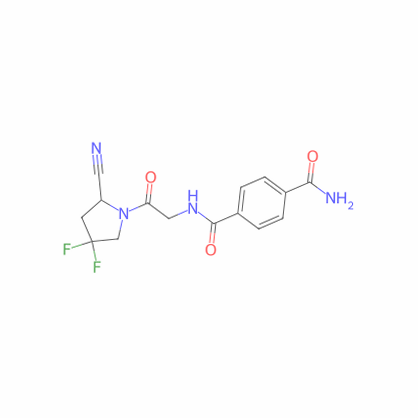 N#CC1CC(F)(F)CN1C(=O)CNC(=O)c1ccc(C(N)=O)cc1